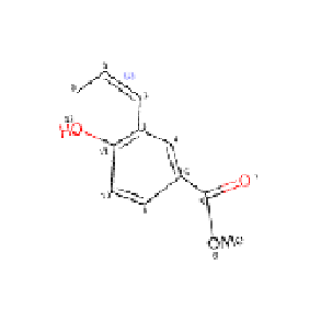 C/C=C\c1cc(C(=O)OC)ccc1O